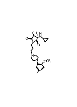 CC1C(=O)N(CCCN2CCN(c3cc(F)ccc3OC(F)(F)F)CC2)C(=O)C1NC1CC1